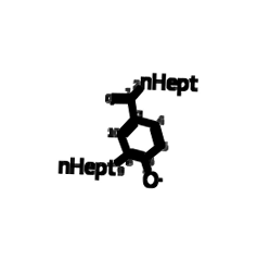 [CH]=C(CCCCCCC)c1ccc([O])c(CCCCCCC)c1